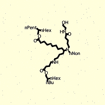 CCCCCCCCCN(CCCCC(=O)NCCO)C(CCCCCCCCC(=O)OCC(CCCCC)CCCCCC)CCCCNCCCC(=O)OCC(CCCC)CCCCCC